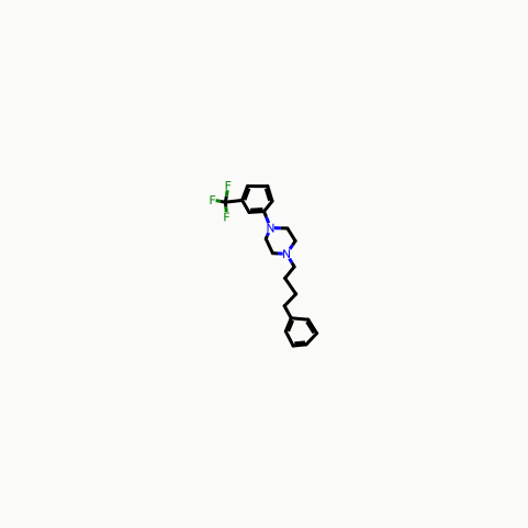 FC(F)(F)c1cccc(N2CCN(CCCCc3ccccc3)CC2)c1